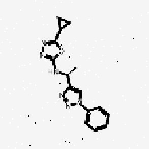 C[C@H](Nc1nnc(C2CC2)o1)c1cn(-c2ccccc2)nn1